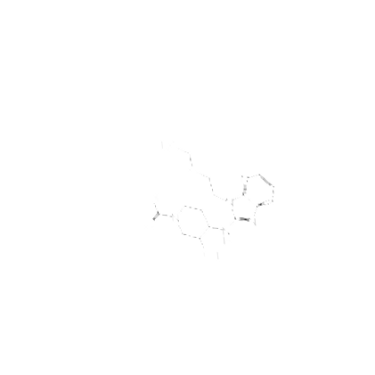 CCOCCn1c(NC2CCN(C(=O)O)CC2C)nc2cccnc21